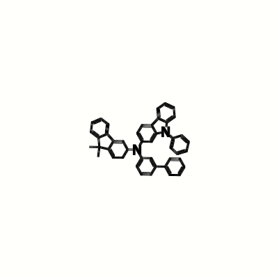 CC1(C)C2=CCC(N(c3cccc(-c4ccccc4)c3)c3ccc4c5ccccc5n(-c5ccccc5)c4c3)C=C2c2ccccc21